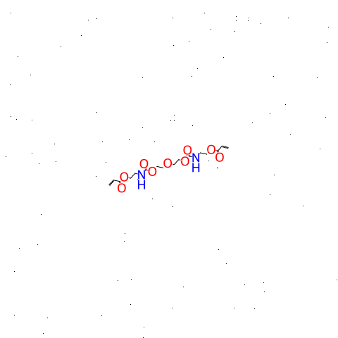 C=CC(=O)OCCNC(=O)OCCOCCOC(=O)NCCOC(=O)C=C